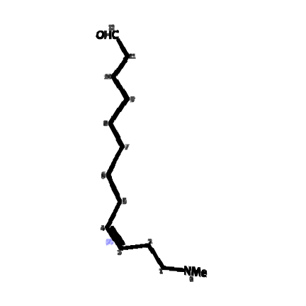 CNCC/C=C\CCCCCCCC=O